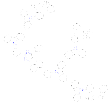 CC1(C)c2ccccc2-c2ccc(-n3c4ccccc4c4cc(-c5ccc6c(c5)c5ccccc5n6-c5cccc(-c6nc(-c7ccccc7)c7c(n6)-c6cccc8c(-c9cccc(-n%10c%11ccc(-c%12ccc%13c(c%12)c%12ccccc%12n%13-c%12ccc%13c(c%12)C(C)(C)c%12ccccc%12-%13)cc%11c%11cc(-c%12ccc%13c(c%12)c%12ccccc%12n%13-c%12ccc%13c(c%12)C(C)(C)c%12ccccc%12-%13)ccc%11%10)c9)ccc-7c68)c5)ccc43)cc21